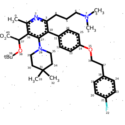 Cc1nc(CCCN(C)C)c(-c2ccc(OCCc3ccc(F)cc3)cc2)c(N2CCC(C)(C)CC2)c1C(OC(C)(C)C)C(=O)O